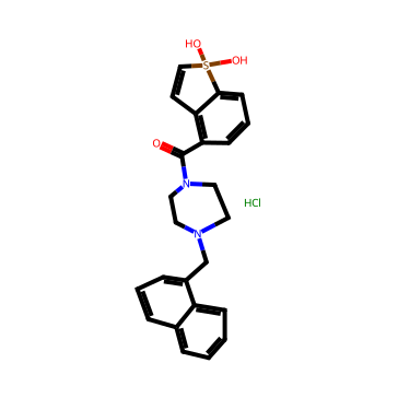 Cl.O=C(c1cccc2c1C=CS2(O)O)N1CCN(Cc2cccc3ccccc23)CC1